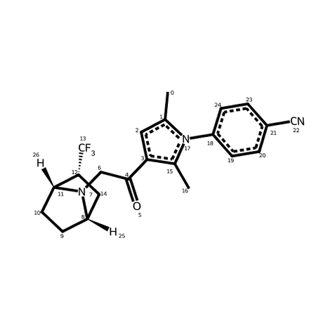 Cc1cc(C(=O)CN2[C@H]3CC[C@@H]2[C@H](C(F)(F)F)C3)c(C)n1-c1ccc(C#N)cc1